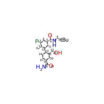 Cc1c(F)cc(C(=O)NCC(C)(C)C)cc1-c1ccc(C(N)=O)cc1CO